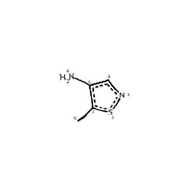 Cc1sncc1N